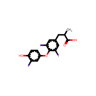 CC(Cc1cc(I)c(Oc2ccc(O)c(I)c2)c(I)c1)C(=O)O